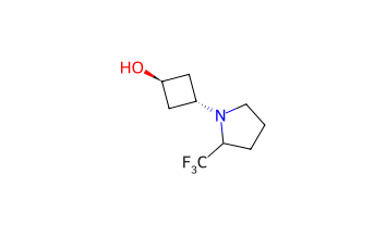 O[C@H]1C[C@H](N2CCCC2C(F)(F)F)C1